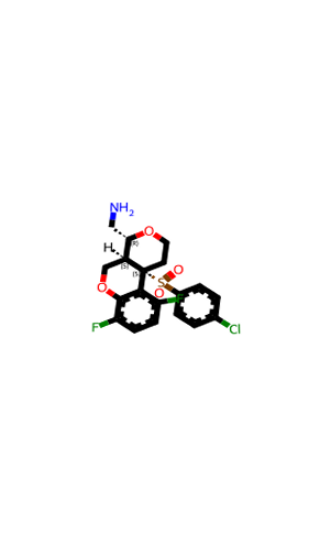 NC[C@@H]1OCC[C@@]2(S(=O)(=O)c3ccc(Cl)cc3)c3c(F)ccc(F)c3OC[C@@H]12